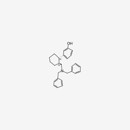 Oc1cccc([C@H]2CCCC[C@@H]2CN(Cc2ccccc2)Cc2ccccc2)c1